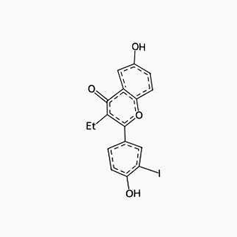 CCc1c(-c2ccc(O)c(I)c2)oc2ccc(O)cc2c1=O